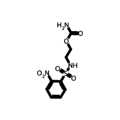 NC(=O)OCCNS(=O)(=O)c1ccccc1[N+](=O)[O-]